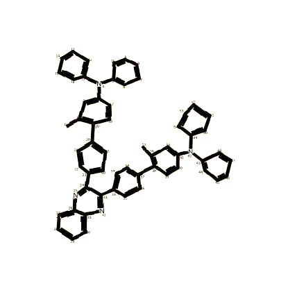 Cc1cc(N(c2ccccc2)c2ccccc2)ccc1-c1ccc(-c2nc3ccccc3nc2-c2ccc(-c3ccc(N(c4ccccc4)c4ccccc4)cc3C)cc2)cc1